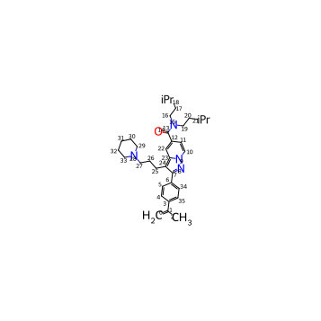 C=C(C)c1ccc(-c2nn3ccc(C(=O)N(CCC(C)C)CCC(C)C)cc3c2CCCN2CCCCC2)cc1